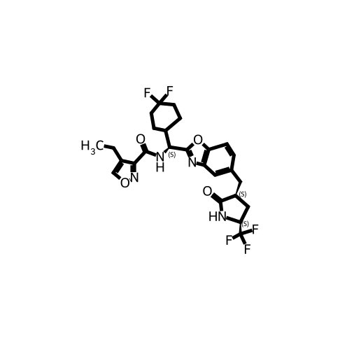 CCc1conc1C(=O)N[C@H](c1nc2cc(C[C@H]3C[C@@H](C(F)(F)F)NC3=O)ccc2o1)C1CCC(F)(F)CC1